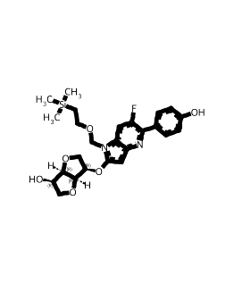 C[Si](C)(C)CCOCn1c(O[C@@H]2CO[C@H]3[C@@H]2OC[C@H]3O)cc2nc(-c3ccc(O)cc3)c(F)cc21